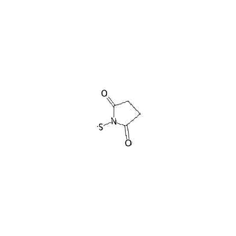 O=C1CCC(=O)N1[S]